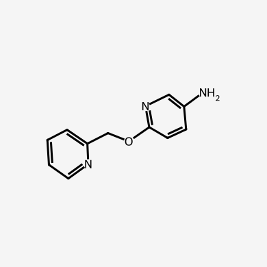 Nc1ccc(OCc2ccccn2)nc1